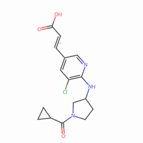 O=C(O)/C=C/c1cnc(NC2CCN(C(=O)C3CC3)C2)c(Cl)c1